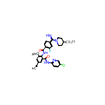 C#Cc1cc(OC)c(NC(=O)c2ccc(C(=N)N3CCC(C(=O)OCC)CC3)cc2F)c(C(=O)Nc2ccc(Cl)cn2)c1